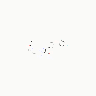 C=CC(=O)N1CC(n2nc(-c3ccc(Oc4ccc(F)cc4F)cc3)c(C(N)=O)c2N)CCC12CC2